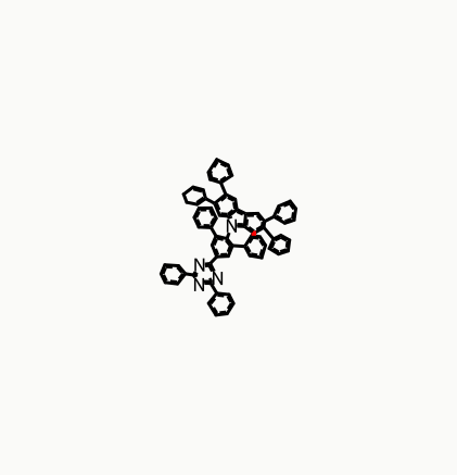 C1=CC(c2cc3c(cc2-c2ccccc2)c2cc(-c4ccccc4)c(-c4ccccc4)cc2n3-c2c(-c3ccccc3)cc(-c3nc(-c4ccccc4)nc(-c4ccccc4)n3)cc2-c2ccccc2)=CCC1